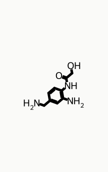 NCc1ccc(NC(=O)CO)c(N)c1